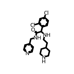 O=C(NCc1ccncc1)C(NCCC1CCNCC1)c1ccc(Cl)cc1Cl